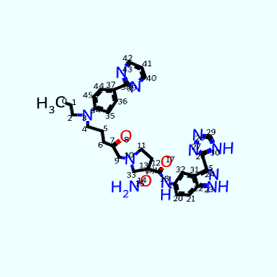 CCCN(CCCC(=O)CN1CC[C@@](ON)(C(=O)Nc2ccc3[nH]nc(-c4nnc[nH]4)c3c2)C1)c1ccc(-c2ncccn2)cc1